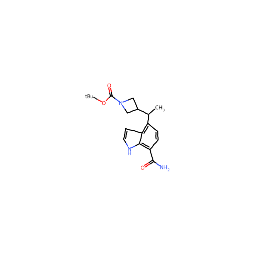 CC(c1ccc(C(N)=O)c2[nH]ccc12)C1CN(C(=O)OC(C)(C)C)C1